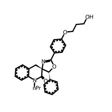 CCCN1C(=O)[C@]2(Cc3ccccc31)N=C(c1ccc(OCCCO)cc1)O[C@@H]2c1ccccc1